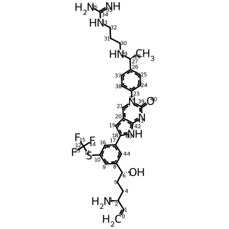 C=C[C@@H](N)CC[C@@H](O)c1cc(SC(F)(F)F)cc(-c2cc3cn(-c4ccc([C@H](C)NCCCNC(=N)N)cc4)c(=O)nc3[nH]2)c1